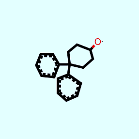 [O]C1CCC(c2ccccc2)(c2ccccc2)CC1